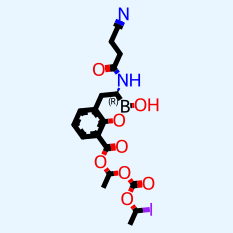 CC(I)OC(=O)OC(C)OC(=O)c1cccc2c1OB(O)[C@@H](NC(=O)CCC#N)C2